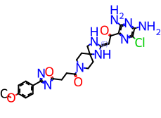 COc1ccc(-c2noc(CCC(=O)N3CCC4(CC3)CN/C(=C\C(=O)c3nc(Cl)c(N)nc3N)N4)n2)cc1